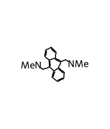 CNCc1c2ccccc2c(CNC)c2ccccc12